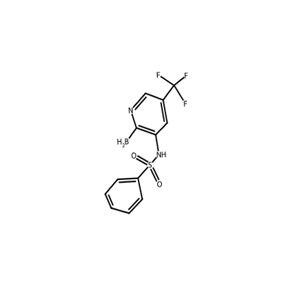 Bc1ncc(C(F)(F)F)cc1NS(=O)(=O)c1ccccc1